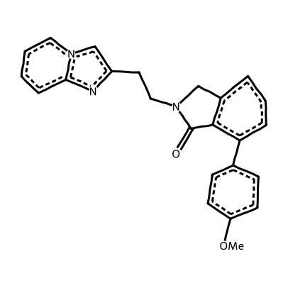 COc1ccc(-c2cccc3c2C(=O)N(CCc2cn4ccccc4n2)C3)cc1